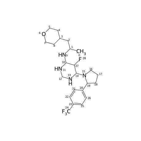 CC(CC1CCOCC1)NC1NCNC(N2CCCC2c2ccc(C(F)(F)F)cc2)C1F